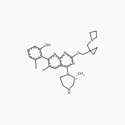 C[C@@H]1CNCCN1c1nc(OCC2(CN3CCC3)CC2)nc2nc(-c3c(O)cccc3F)c(F)cc12